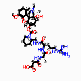 COc1ccc(C)c2c1O[C@H]1C(OC(=O)N3CCCCC3CNC(=O)[C@H](CCCNC(=N)N)NC(=O)[C@H](C)NC(=O)CC(=O)O)=CC[C@@]3(O)[C@@H](C)N(C)CC[C@]213